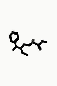 CCN(CCNC(=O)OC)C(C)c1ccncc1